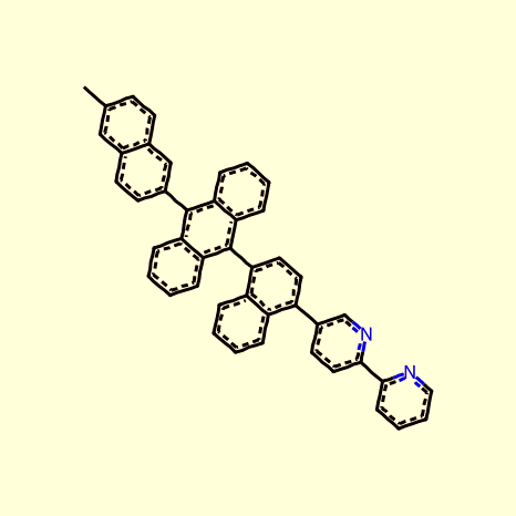 Cc1ccc2cc(-c3c4ccccc4c(-c4ccc(-c5ccc(-c6ccccn6)nc5)c5ccccc45)c4ccccc34)ccc2c1